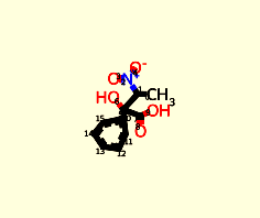 CC([N+](=O)[O-])C(O)(C(=O)O)c1ccccc1